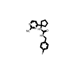 N#Cc1nccc(C2(NC(=O)NCc3ccc(F)cc3)CCCC2)n1